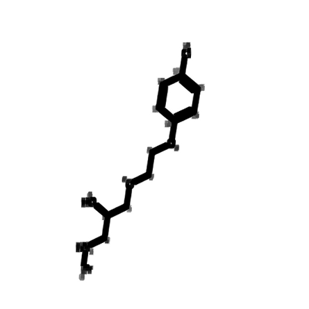 CC(C)NCC(O)COCCOc1ccc(Cl)cc1